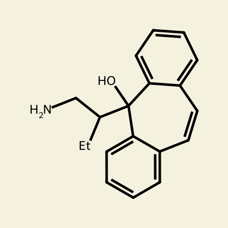 CCC(CN)C1(O)c2ccccc2C=Cc2ccccc21